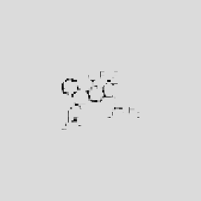 CC(=O)Nc1ccc(-c2ccccc2C(=O)C[N+](=O)[O-])c(Cl)c1C(F)(F)F